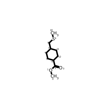 COC(=O)C1CCC(CSC)CC1